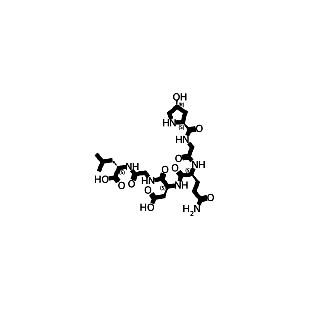 CC(C)C[C@H](NC(=O)CNC(=O)[C@H](CC(=O)O)NC(=O)[C@H](CCC(N)=O)NC(=O)CNC(=O)[C@@H]1C[C@@H](O)CN1)C(=O)O